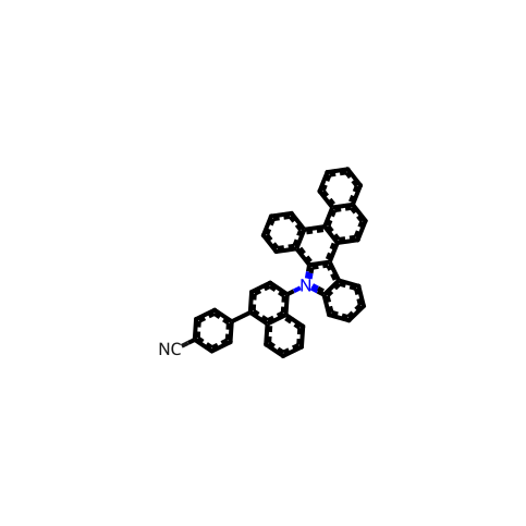 N#Cc1ccc(-c2ccc(-n3c4ccccc4c4c5ccc6ccccc6c5c5ccccc5c43)c3ccccc23)cc1